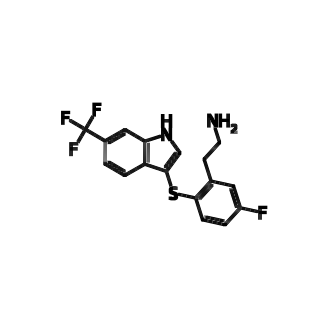 NCCc1cc(F)ccc1Sc1c[nH]c2cc(C(F)(F)F)ccc12